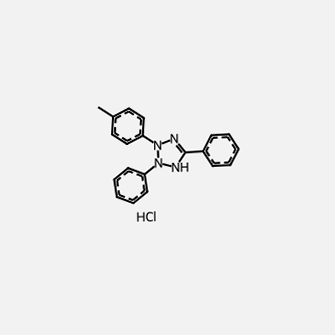 Cc1ccc(N2N=C(c3ccccc3)NN2c2ccccc2)cc1.Cl